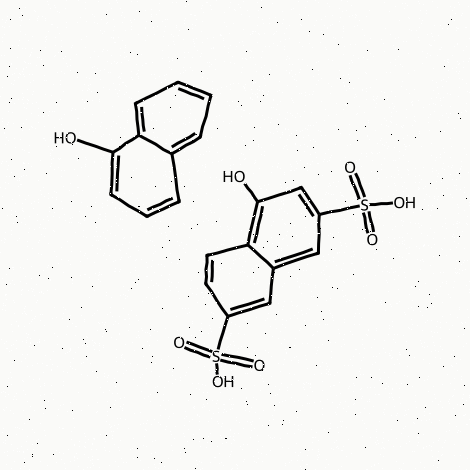 O=S(=O)(O)c1ccc2c(O)cc(S(=O)(=O)O)cc2c1.Oc1cccc2ccccc12